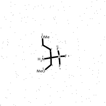 COCCC(N)(COC)S(F)(F)F